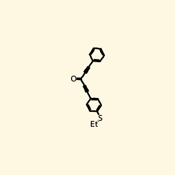 CCSc1ccc(C#CC(=O)C#Cc2ccccc2)cc1